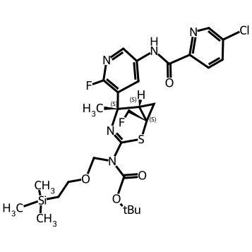 CC(C)(C)OC(=O)N(COCC[Si](C)(C)C)C1=N[C@](C)(c2cc(NC(=O)c3ccc(Cl)cn3)cnc2F)[C@@H]2C[C@]2(CF)S1